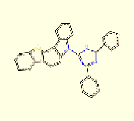 c1ccc(C2=NC(c3ccccc3)NC(n3c4ccccc4c4c5sc6ccccc6c5ccc43)=N2)cc1